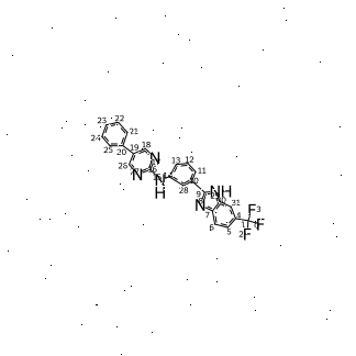 FC(F)(F)c1ccc2nc(-c3cccc(Nc4ncc(-c5ccccc5)cn4)c3)[nH]c2c1